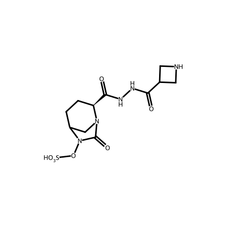 O=C(NNC(=O)[C@@H]1CCC2CN1C(=O)N2OS(=O)(=O)O)C1CNC1